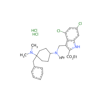 CCCN(Cc1c(C(=O)OCC)[nH]c2cc(Cl)cc(Cl)c12)C1CCC(Cc2ccccc2)(N(C)C)CC1.Cl.Cl